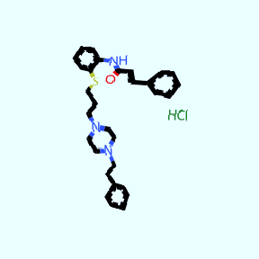 Cl.O=C(C=Cc1ccccc1)Nc1ccccc1SCCCN1CCN(CCc2ccccc2)CC1